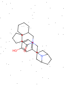 O=C(C1CCCC1)N(CCN1C2CCC1CC(c1cccc(O)c1)C2)CC1CCCCC1